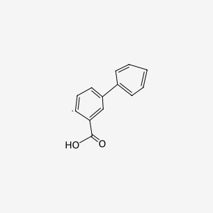 O=C(O)c1[c]ccc(-c2ccccc2)c1